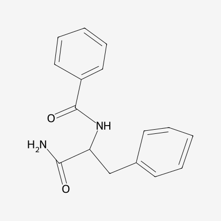 NC(=O)C(Cc1ccccc1)NC(=O)c1ccccc1